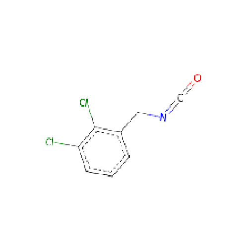 O=C=NCc1cccc(Cl)c1Cl